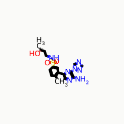 Cc1ccc(S(=O)(=O)NCC[C@@H](C)O)cc1-c1cnc(N)c(-n2cncn2)n1